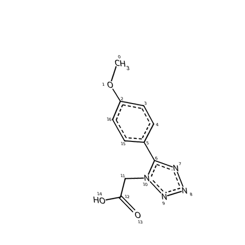 COc1ccc(-c2nnnn2CC(=O)O)cc1